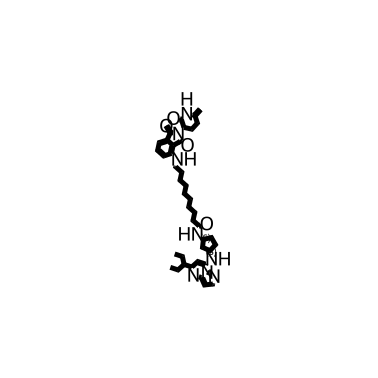 C=C1CCC(N2C(=O)c3cccc(NCCCCCCCCCC(=O)N[C@H]4CC[C@H](Nc5cc(C(CC)CC)nc6ccnn56)C4)c3C2=O)C(=O)N1